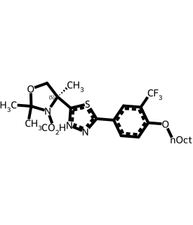 CCCCCCCCOc1ccc(-c2nnc([C@]3(C)COC(C)(C)N3C(=O)O)s2)cc1C(F)(F)F